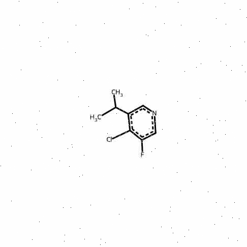 CC(C)c1cncc(F)c1Cl